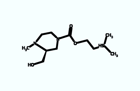 CN1CCN(C(=O)OCC[SiH](C)C)C[C@H]1CO